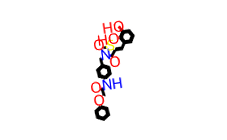 O=C(COc1ccccc1)Nc1ccc(CN2C(=O)S/C(=C\c3cccc(O)c3O)C2=O)cc1